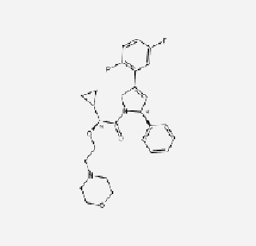 O=C([C@@H](OCCN1CCOCC1)C1CC1)N1CC(c2cc(F)ccc2F)=C[C@H]1c1ccccc1